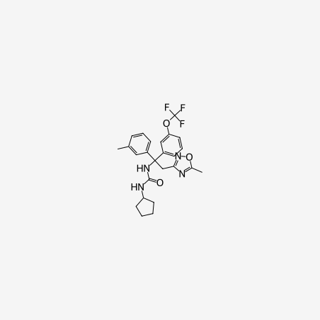 Cc1cccc(C(Cc2noc(C)n2)(NC(=O)NC2CCCC2)c2cccc(OC(F)(F)F)c2)c1